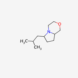 CC(C)CC1CCC2COCCN21